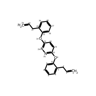 C=CCc1ccccc1Oc1ccc(Oc2ccccc2CC=C)nn1